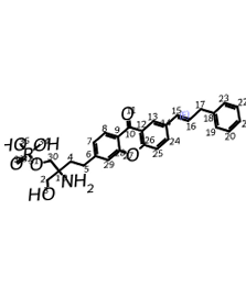 NC(CO)(CCc1ccc2c(=O)c3cc(/C=C/Cc4ccccc4)ccc3oc2c1)COP(=O)(O)O